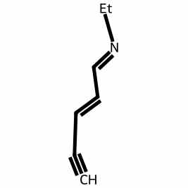 C#CC=CC=NCC